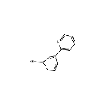 OC1C=C(c2ccccn2)C=CC1